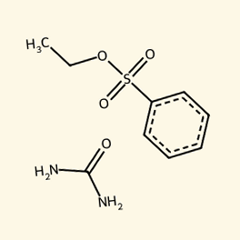 CCOS(=O)(=O)c1ccccc1.NC(N)=O